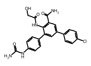 NC(=O)Nc1ccc(-c2cc(-c3ccc(Cl)cc3)cc(C(N)=O)c2NC(=O)CO)cc1